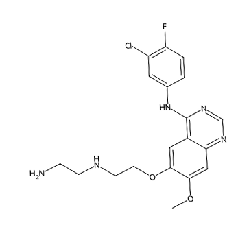 COc1cc2ncnc(Nc3ccc(F)c(Cl)c3)c2cc1OCCNCCN